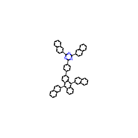 c1ccc2cc(-c3nc(-c4ccc(-c5ccc6c(-c7ccc8ccccc8c7)c7ccccc7c(-c7ccc8ccccc8c7)c6c5)cc4)nc(-c4ccc5ccccc5c4)n3)ccc2c1